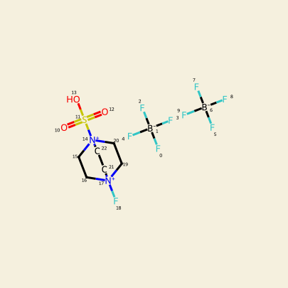 F[B-](F)(F)F.F[B-](F)(F)F.O=S(=O)(O)[N+]12CC[N+](F)(CC1)CC2